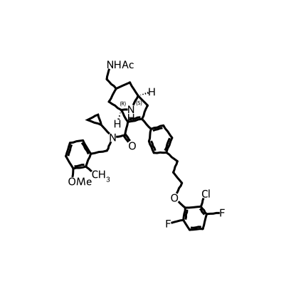 COc1cccc(CN(C(=O)C2=C(c3ccc(CCCOc4c(F)ccc(F)c4Cl)cc3)C[C@@H]3CC(CNC(C)=O)C[C@H]2N3)C2CC2)c1C